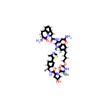 Cc1ncsc1-c1ccc([C@H](C)NC(=O)C2C[C@@H](O)CN2C(=O)[C@@H](NC(=O)OCCCCc2cccc(N(C)CC(CCC(N)=O)NC(=O)[C@@H]3Cc4cccc5c4N3C(=O)[C@@H](N)CC5)c2F)C(C)(C)C)cc1